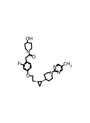 Cc1cnc(N2CCC([C@H]3C[C@H]3CCOc3ccc(CC(=O)N4CCC(O)CC4)c(F)c3)CC2)nc1